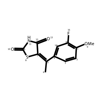 COc1ccc(/C(C)=C2/SC(=O)NC2=O)cc1F